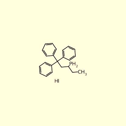 CCC(P)CC(c1ccccc1)(c1ccccc1)c1ccccc1.I